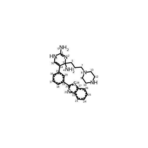 NC1=NC(N)(CCCN2CCNCC2)C(c2cccc(-c3nc4ccccc4s3)c2)=CN1